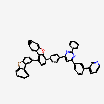 c1ccc(-c2nc(-c3ccc(-c4ccc(-c5ccc6sc7ccccc7c6c5)c5c4oc4ccccc45)cc3)cc(-c3cccc(-c4cccnc4)c3)n2)cc1